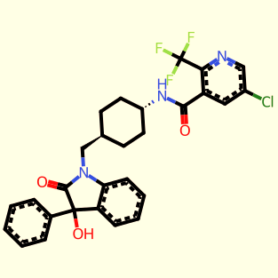 O=C(N[C@H]1CC[C@H](CN2C(=O)C(O)(c3ccccc3)c3ccccc32)CC1)c1cc(Cl)cnc1C(F)(F)F